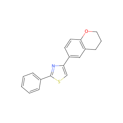 c1ccc(-c2nc(-c3ccc4c(c3)CCCO4)cs2)cc1